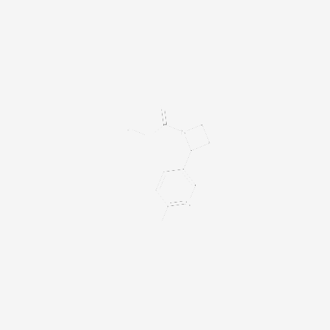 CC(C)(C)OC(=O)N1CCC1c1ccc(Cl)nc1